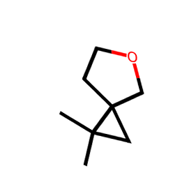 CC1(C)CC12CCOC2